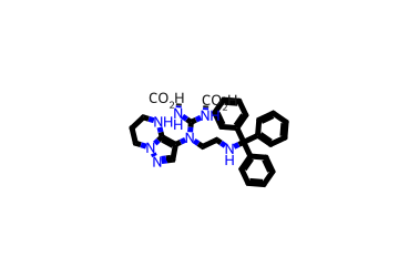 O=C(O)NC(NC(=O)O)N(CCNC(c1ccccc1)(c1ccccc1)c1ccccc1)c1cnn2c1NCCC2